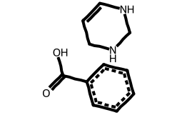 C1=CNCNC1.O=C(O)c1ccccc1